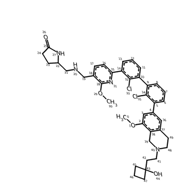 COc1cc(-c2cccc(-c3cccc(-c4ccc(CNCC5CCC(=O)N5)c(OC)n4)c3Cl)c2Cl)cc2c1CN(CCC1(O)CCC1)CC2